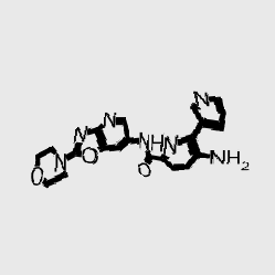 Nc1ccc(C(=O)Nc2cnc3nc(N4CCOCC4)oc3c2)nc1-c1cccnc1